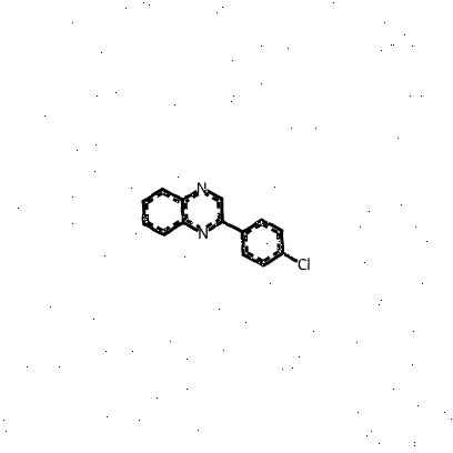 Clc1ccc(-c2cnc3ccccc3n2)cc1